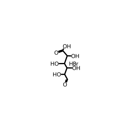 Br.O=CC(O)C(O)C(O)C(O)C(=O)O